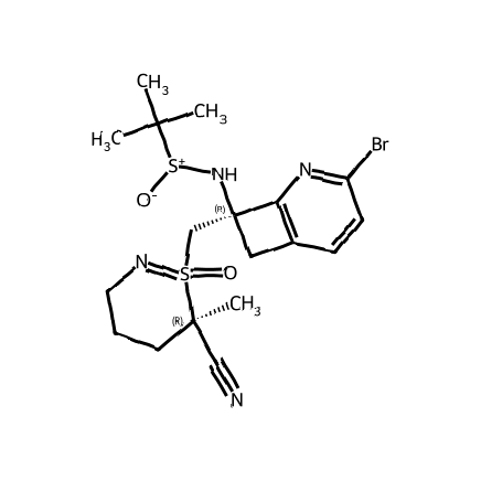 CC(C)(C)[S+]([O-])N[C@]1(CS2(=O)=NCCC[C@]2(C)C#N)Cc2ccc(Br)nc21